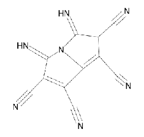 N#CC1=C(C#N)C2=C(C#N)C(C#N)C(=N)N2C1=N